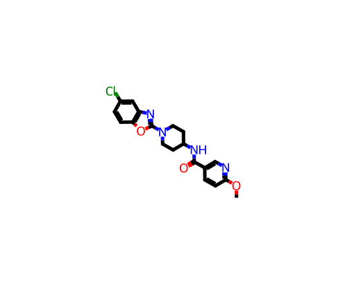 COc1ccc(C(=O)NC2CCN(c3nc4cc(Cl)ccc4o3)CC2)cn1